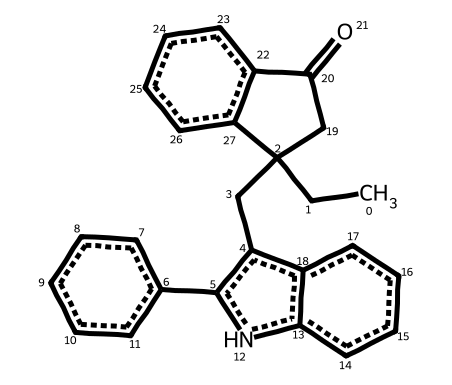 CCC1(Cc2c(-c3ccccc3)[nH]c3ccccc23)CC(=O)c2ccccc21